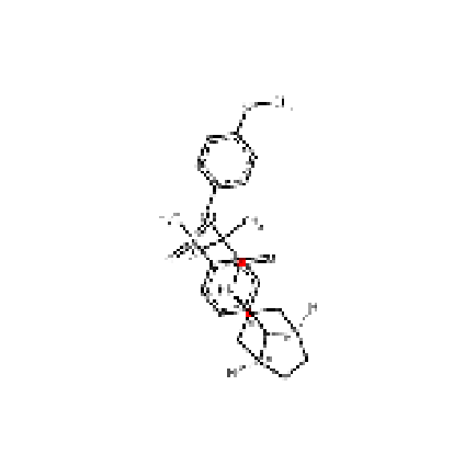 COc1ccc(OC(C)(C)C(=O)N[C@H]2C[C@H]3CC[C@@H](C2)N3c2ccc(S(C)(=O)=O)cc2)cc1